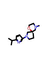 CC(C)c1ccc(N2CCC[C@@]3(CN(C)CCO3)C2)cn1